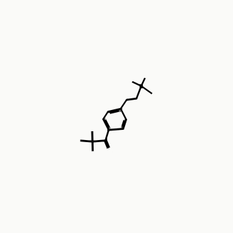 CC(C)(C)CCc1ccc(C(=O)C(C)(C)C)cc1